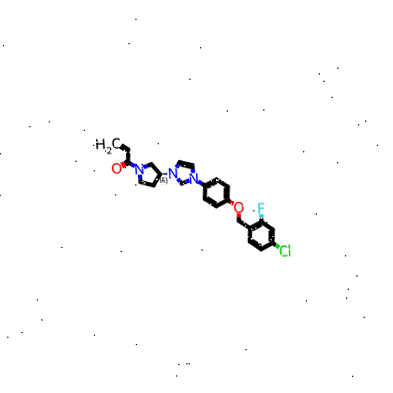 C=CC(=O)N1CC[C@@H](N2C=CN(c3ccc(OCc4ccc(Cl)cc4F)cc3)C2)C1